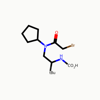 CC(C)(C)C(CN(C(=O)CBr)C1CCCC1)NC(=O)O